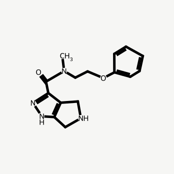 CN(CCOc1ccccc1)C(=O)c1n[nH]c2c1CNC2